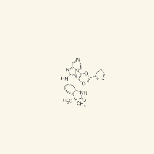 CC1(C)C(=O)Nc2cc(NC3=N[N+]4(C5=COC=C(C6=CC=CCC6)O5)C=CN=CC4=N3)ccc21